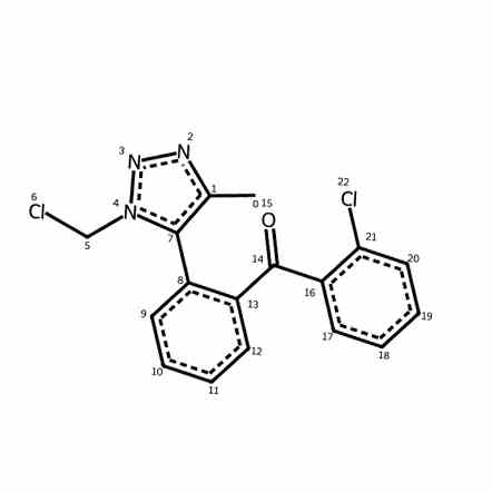 Cc1nnn(CCl)c1-c1ccccc1C(=O)c1ccccc1Cl